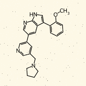 COc1ccccc1-c1c[nH]c2ncc(-c3cncc(CN4CCCC4)c3)cc12